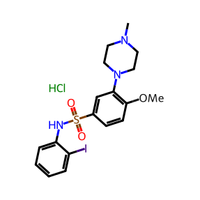 COc1ccc(S(=O)(=O)Nc2ccccc2I)cc1N1CCN(C)CC1.Cl